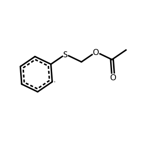 CC(=O)OCSc1[c]cccc1